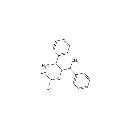 CC(c1ccccc1)C(OP(O)O)C(C)c1ccccc1